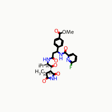 COC(=O)c1ccc(C(CC(=O)N[C@@H](C(=O)[C@@H]2C(=O)NC(=O)[C@@H]2C)C(C)C)NC(=O)c2cccc(F)n2)cc1